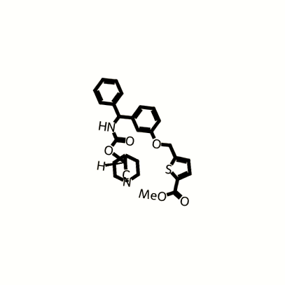 COC(=O)c1ccc(COc2cccc(C(NC(=O)O[C@H]3CN4CCC3CC4)c3ccccc3)c2)s1